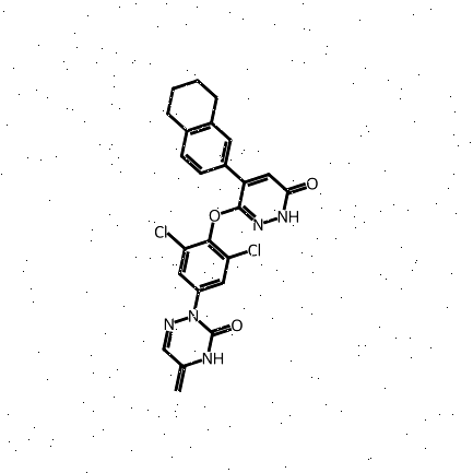 C=C1C=NN(c2cc(Cl)c(Oc3n[nH]c(=O)cc3-c3ccc4c(c3)CCCC4)c(Cl)c2)C(=O)N1